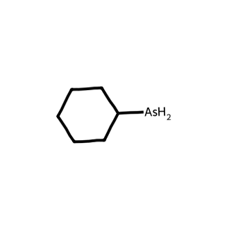 [AsH2]C1CCCCC1